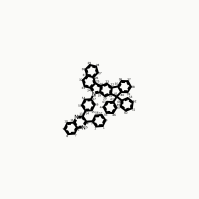 c1ccc(-c2nc3ccccc3nc2-c2ccc(-n3c4cc5c(cc4c4c6ccccc6ccc43)-c3ccccc3C5(c3ccccc3)c3ccccc3)cc2)cc1